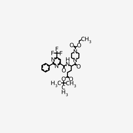 CCOC(=O)N1CCN(C(=O)C(CCC(=O)OC(C)(C)C)NC(=O)c2cc(C(F)(F)F)nc(-c3ccccc3)n2)CC1